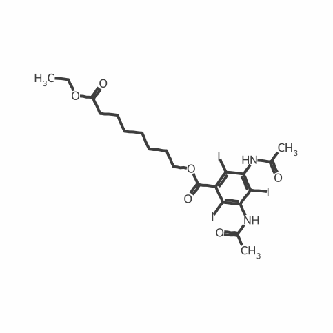 CCOC(=O)CCCCCCCOC(=O)c1c(I)c(NC(C)=O)c(I)c(NC(C)=O)c1I